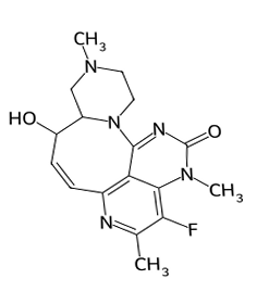 Cc1nc2c3c(nc(=O)n(C)c3c1F)N1CCN(C)CC1C(O)/C=C\2